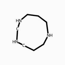 C1CNCCCNCNC1